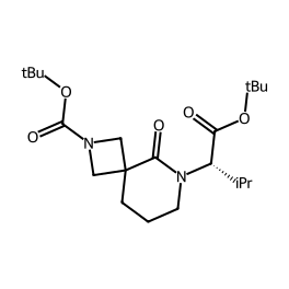 CC(C)[C@@H](C(=O)OC(C)(C)C)N1CCCC2(CN(C(=O)OC(C)(C)C)C2)C1=O